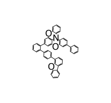 c1ccc(-c2ccc3c(c2)Oc2cc(-c4ccccc4-c4ccc(-c5cccc6c5oc5ccccc56)cc4)cc4c2N3c2ccccc2O4)cc1